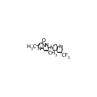 Cc1cc(=O)n2nc(N3CCc4ncc(C(F)(F)F)cc4C3)c(C)cc2n1